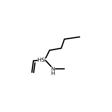 C=C[SiH](CCCC)NC